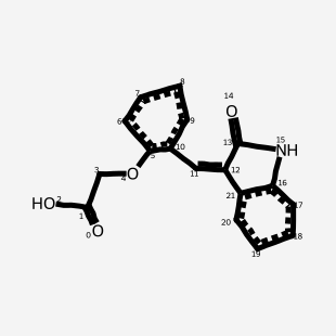 O=C(O)COc1ccccc1/C=C1\C(=O)Nc2ccccc21